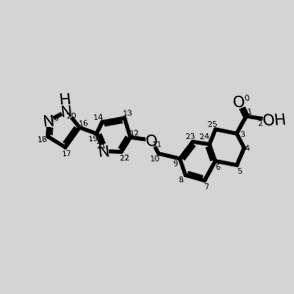 O=C(O)C1CCc2ccc(COc3ccc(-c4ccn[nH]4)nc3)cc2C1